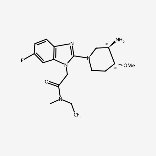 CO[C@@H]1CCN(c2nc3ccc(F)cc3n2CC(=O)N(C)CC(F)(F)F)C[C@H]1N